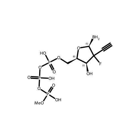 B[C@@H]1O[C@H](COP(=O)(O)OP(=O)(O)OP(=O)(O)OC)[C@H](O)C1(F)C#C